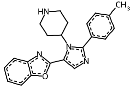 Cc1ccc(-c2ncc(-c3nc4ccccc4o3)n2C2CCNCC2)cc1